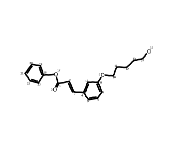 O=C(/C=C/c1cccc(OCCCCCCl)c1)Oc1ccccc1